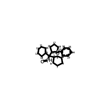 O=[PH2]C(C1CCCCC1)(C1CCCCC1)C1CCCP1(=O)c1ccccc1